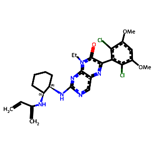 C=CC(=C)N[C@H]1CCCC[C@H]1Nc1ncc2nc(-c3c(Cl)c(OC)cc(OC)c3Cl)c(=O)n(CC)c2n1